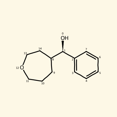 O[C@@H](c1ccccc1)C1CCCOCC1